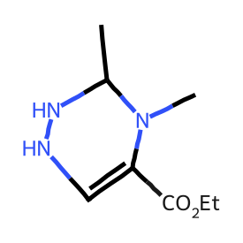 CCOC(=O)C1=CNNC(C)N1C